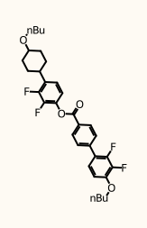 CCCCOc1ccc(-c2ccc(C(=O)Oc3ccc(C4CCC(OCCCC)CC4)c(F)c3F)cc2)c(F)c1F